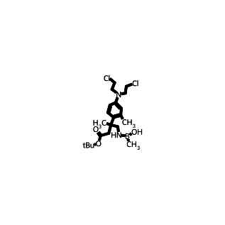 CB(O)NCC(C)(CC(=O)OC(C)(C)C)c1ccc(N(CCCl)CCCl)cc1C